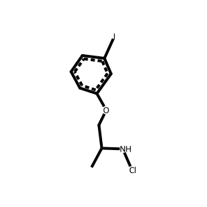 CC(COc1cccc(I)c1)NCl